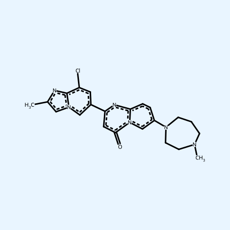 Cc1cn2cc(-c3cc(=O)n4cc(N5CCCN(C)CC5)ccc4n3)cc(Cl)c2n1